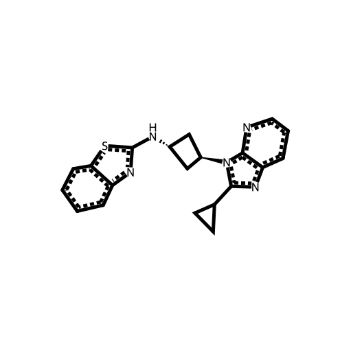 c1ccc2sc(N[C@H]3C[C@H](n4c(C5CC5)nc5cccnc54)C3)nc2c1